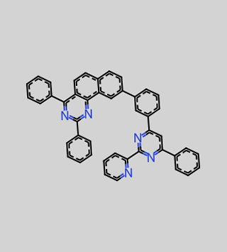 c1ccc(-c2cc(-c3cccc(-c4ccc5ccc6c(-c7ccccc7)nc(-c7ccccc7)nc6c5c4)c3)nc(-c3ccccn3)n2)cc1